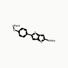 CCCCCCc1cc2sc(-c3ccc(OCCCCC)cc3)cc2s1